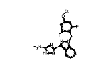 CCOc1cc(F)c(Cn2nc(-c3n[nH]c(N)n3)c3ccccc32)c(F)c1